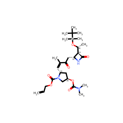 C=CCOC(=O)N1C[C@H](OC(=O)N(C)C)C[C@H]1C=C(C)C(=O)C[C@H]1NC(=O)[C@@H]1[C@@H](C)O[Si](C)(C)C(C)(C)C